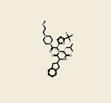 COCCN1CCN(C(=O)[C@@H](c2ccc(C(F)(F)F)o2)N2C(=O)C(C3Cc4ccccc4C3)NC(=O)[C@H]2CC(C)C)CC1